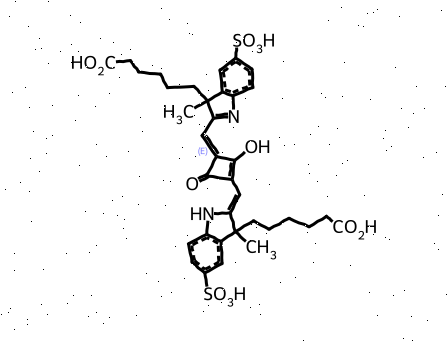 CC1(CCCCCC(=O)O)C(/C=C2/C(=O)C(C=C3Nc4ccc(S(=O)(=O)O)cc4C3(C)CCCCCC(=O)O)=C2O)=Nc2ccc(S(=O)(=O)O)cc21